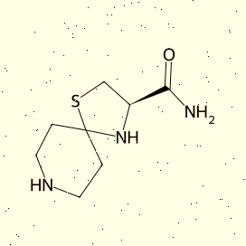 NC(=O)[C@@H]1CSC2(CCNCC2)N1